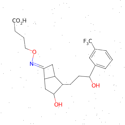 O=C(O)CCCON=C1CC2C1CC(O)C2CCC(O)c1cccc(C(F)(F)F)c1